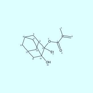 C=C(C)C(=O)OC1(CC)C2CC3CC(C2)CC1(O)C3